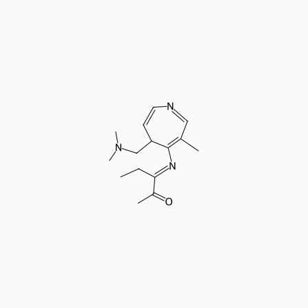 CC/C(=N\C1=C(C)C=NC=CC1CN(C)C)C(C)=O